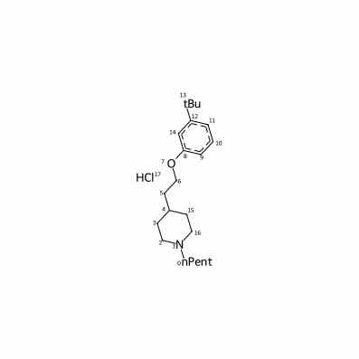 CCCCCN1CCC(CCOc2cccc(C(C)(C)C)c2)CC1.Cl